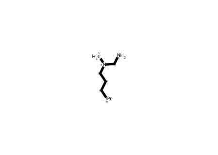 CC(C)CCCN(C)CN